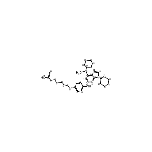 CN(c1nc(Nc2ccc(OCCCCCCC(=O)O)cc2)nc2c1ncn2C1CCCCO1)C1CCCCC1